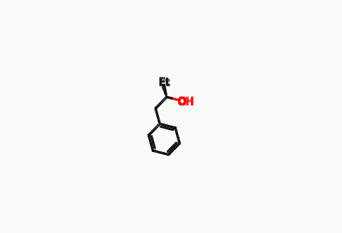 CC[C@@H](O)Cc1ccccc1